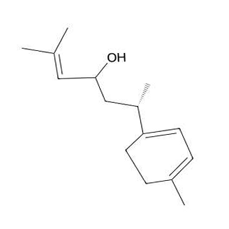 CC(C)=CC(O)C[C@H](C)C1=CC=C(C)CC1